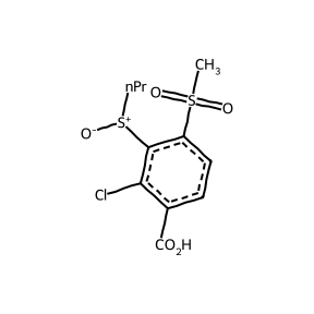 CCC[S+]([O-])c1c(S(C)(=O)=O)ccc(C(=O)O)c1Cl